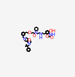 O=C1COc2c(CCNCCN(C(=O)CCOCCc3cccc(CN4CCC5(CC4)CN(CC4(c6ccccc6)CC4)CCO5)c3)C3CCCCC3)ccc(O)c2N1